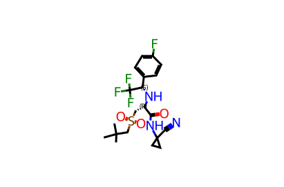 CC(C)(C)CS(=O)(=O)C[C@H](N[C@@H](c1ccc(F)cc1)C(F)(F)F)C(=O)NC1(C#N)CC1